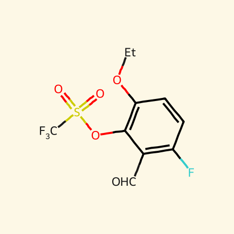 CCOc1ccc(F)c(C=O)c1OS(=O)(=O)C(F)(F)F